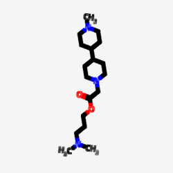 CN(C)CCCOC(=O)CN1CCC(C2CCN(C)CC2)CC1